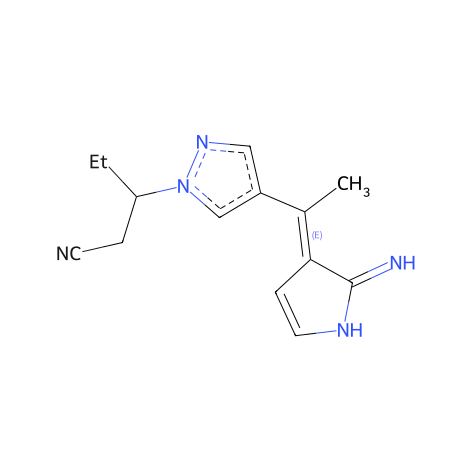 CCC(CC#N)n1cc(/C(C)=C2\C=CNC2=N)cn1